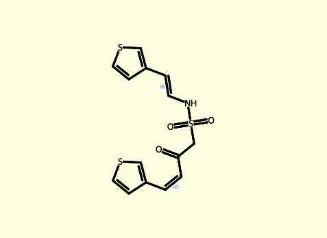 O=C(/C=C\c1ccsc1)CS(=O)(=O)N/C=C/c1ccsc1